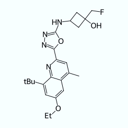 CCOc1cc(C(C)(C)C)c2nc(-c3nnc(NC4CC(O)(CF)C4)o3)cc(C)c2c1